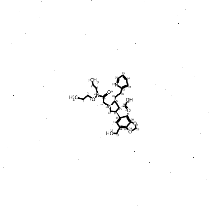 CCCON(CCC)C(=O)CN1C[C@H](c2cc(CO)c3c(c2)OCO3)[C@@H](C(=O)O)[C@@H]1CCc1ccccn1